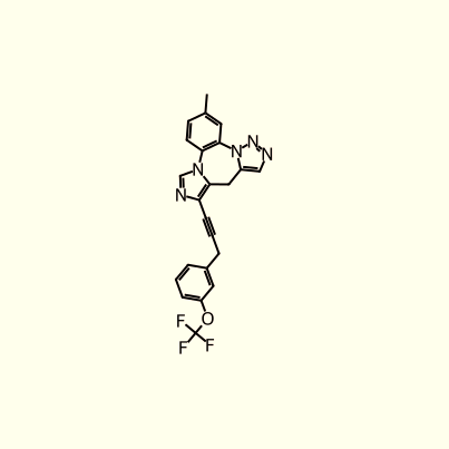 Cc1ccc2c(c1)-n1nncc1Cc1c(C#CCc3cccc(OC(F)(F)F)c3)ncn1-2